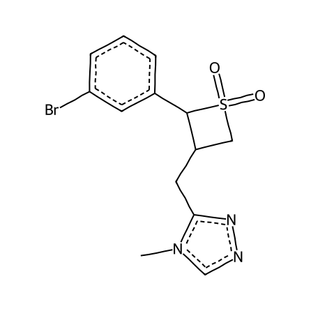 Cn1cnnc1CC1CS(=O)(=O)C1c1cccc(Br)c1